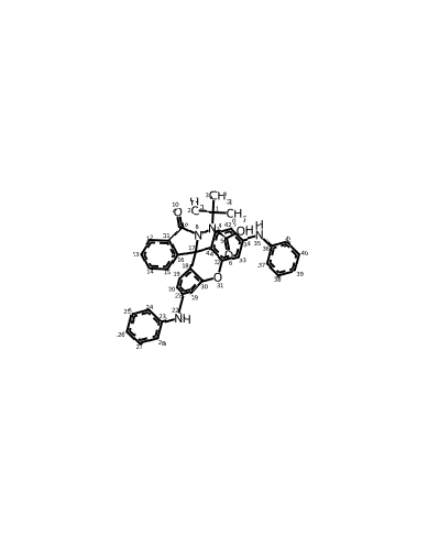 CC(C)(C)N(C(=O)O)N1C(=O)c2ccccc2C12c1ccc(Nc3ccccc3)cc1Oc1cc(Nc3ccccc3)ccc12